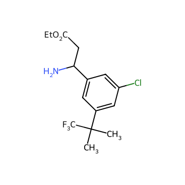 CCOC(=O)CC(N)c1cc(Cl)cc(C(C)(C)C(F)(F)F)c1